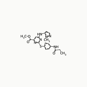 CCC(=O)Nc1ccc(Sc2nc(Nc3ccnn3C)cc(C(=O)OC)n2)cc1